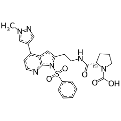 Cn1cc(-c2ccnc3c2cc(CCNC(=O)[C@@H]2CCCN2C(=O)O)n3S(=O)(=O)c2ccccc2)cn1